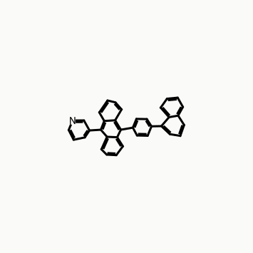 c1cncc(-c2c3ccccc3c(-c3ccc(-c4cccc5ccccc45)cc3)c3ccccc23)c1